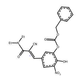 CCN(CC)C(=O)/C(C#N)=C/c1cc(OC(=O)OCc2ccccc2)c(O)c([N+](=O)[O-])c1